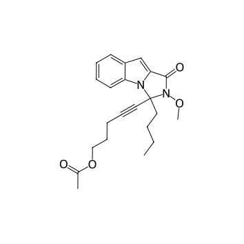 CCCCC1(C#CCCCOC(C)=O)N(OC)C(=O)c2cc3ccccc3n21